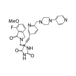 COc1ccc2c(c1F)C(=O)N(C[C@@]1(C#Cc3ccc(CN4CCN(c5ccncc5)CC4)nc3)NC(=O)NC1=O)C2